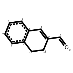 O=CC1=Cc2ccccc2CC1